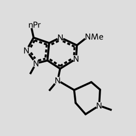 CCCc1nn(C)c2c(N(C)C3CCN(C)CC3)nc(NC)nc12